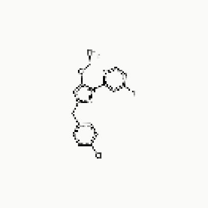 PCOc1cc(Cc2ccc(Cl)cc2)nn1-c1cc(I)ccn1